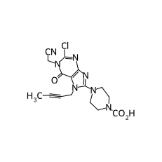 CC#CCn1c(N2CCN(C(=O)O)CC2)nc2nc(Cl)n(CC#N)c(=O)c21